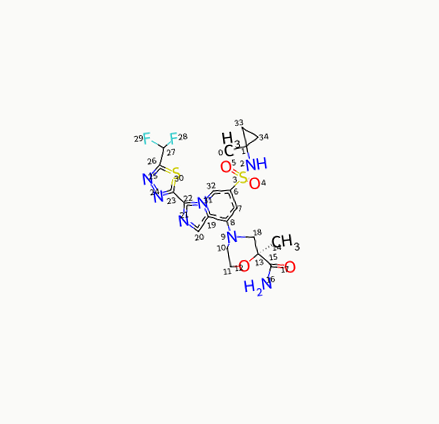 CC1(NS(=O)(=O)c2cc(N3CCO[C@](C)(C(N)=O)C3)c3cnc(-c4nnc(C(F)F)s4)n3c2)CC1